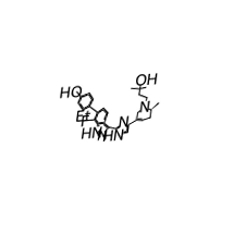 CCc1cc(O)ccc1-c1ccc2c(-c3nc(C4=CC[C@H](C)N(CCC(C)(C)O)C4)c[nH]3)n[nH]c2c1F